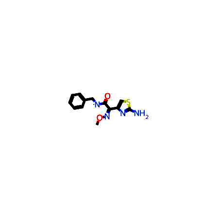 CON=C(C(=O)[N]Cc1ccccc1)c1csc(N)n1